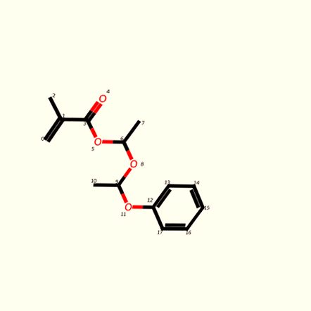 C=C(C)C(=O)OC(C)OC(C)Oc1ccccc1